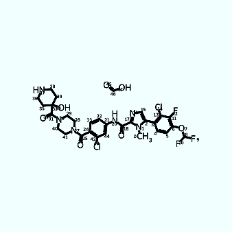 Cn1c(-c2ccc(OC(F)F)c(F)c2Cl)cnc1C(=O)Nc1ccc(C(=O)N2CCN(C(=O)C3(O)CCNCC3)CC2)c(Cl)c1.O=CO